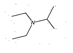 [CH2]C([CH2])N(CC)CC